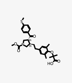 COC(=O)N1C[C@H](CCc2cc(C)c(OC(C)(C)C(=O)O)c(C)c2)[C@@H](C(=O)c2ccc(SC)cc2)C1